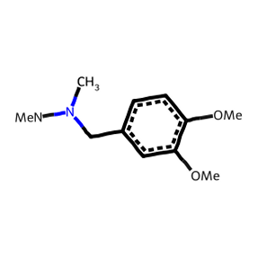 CNN(C)Cc1ccc(OC)c(OC)c1